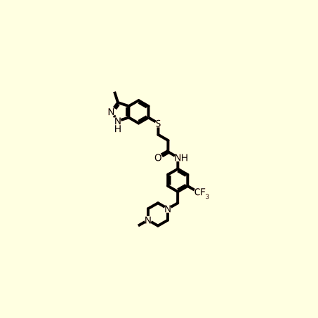 Cc1n[nH]c2cc(SCCC(=O)Nc3ccc(CN4CCN(C)CC4)c(C(F)(F)F)c3)ccc12